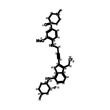 COc1cc(P2(=O)CCN(C)CC2)ccc1NCC#Cc1sc2c(NC3CCN(C)C[C@H]3F)cccc2c1CC(F)(F)F